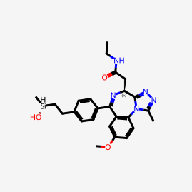 CCNC(=O)C[C@@H]1N=C(c2ccc(CC[SiH](C)O)cc2)c2cc(OC)ccc2-n2c(C)nnc21